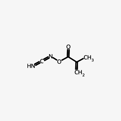 C=C(C)C(=O)ON=C=N